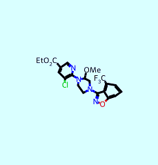 CCOC(=O)c1cnc(N2CCN(c3noc4cccc(C(F)(F)F)c34)CC2OC)c(Cl)c1